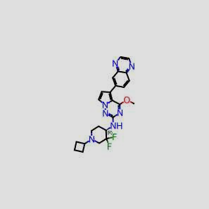 COc1nc(N[C@@H]2CCN(C3CCC3)CC2(F)F)nn2ccc(-c3ccc4nccnc4c3)c12